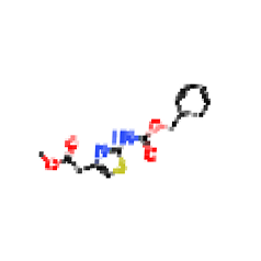 COC(=O)Cc1csc(NC(=O)OCc2ccccc2)n1